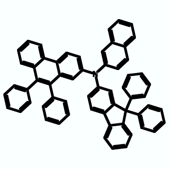 c1ccc(-c2c(-c3ccccc3)c3cc(N(c4ccc5c(c4)C(c4ccccc4)(c4ccccc4)c4ccccc4-5)c4ccc5ccccc5c4)ccc3c3ccccc23)cc1